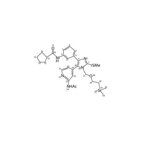 CSc1nc(-c2cccc(NC(=O)C3CCCC3)c2)c(-c2ccnc(NC(C)=O)c2)n1COCC[Si](C)(C)C